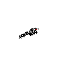 O=C(O)c1cc(F)c2nc(Cc3cc(F)c(-c4cccc(OCc5ccc(C(F)(F)F)cc5F)n4)cc3F)n(Cc3ncco3)c2c1